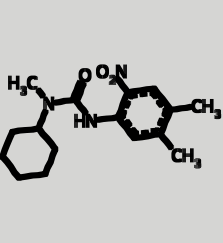 Cc1cc(NC(=O)N(C)C2CCCCC2)c([N+](=O)[O-])cc1C